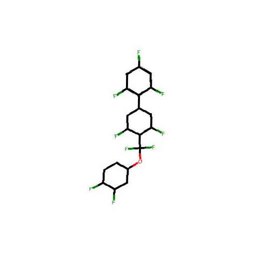 FC1CC(F)C(C2CC(F)C(C(F)(F)OC3CCC(F)C(F)C3)C(F)C2)C(F)C1